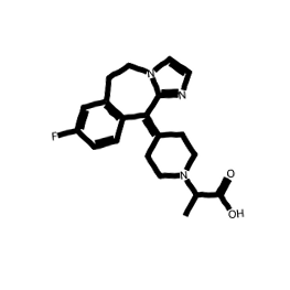 CC(C(=O)O)N1CCC(=C2c3ccc(F)cc3CCn3ccnc32)CC1